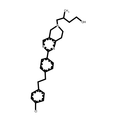 CC(CCO)CN1CCc2nc(-c3ccc(CCc4ccc(Cl)cc4)cc3)ncc2C1